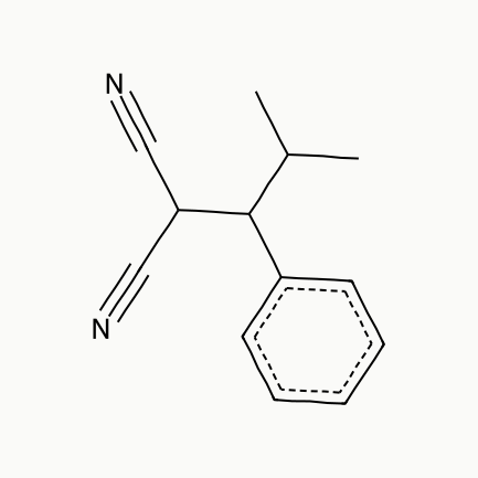 CC(C)C(c1ccccc1)C(C#N)C#N